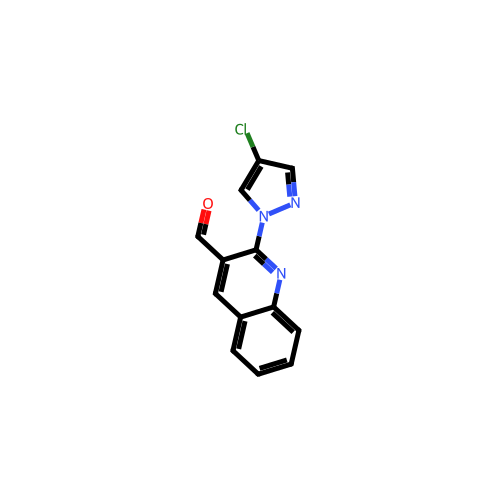 O=Cc1cc2ccccc2nc1-n1cc(Cl)cn1